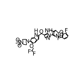 CC1=CC(Oc2c(F)cccc2F)NC=C1n1ncc(C(=O)c2cc3cc(OCC(F)F)c(N4CCN(S(C)(=O)=O)CC4)cc3[nH]2)c1N